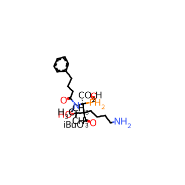 CC(C)COC(=O)C(CCCCN)(C(C)(C)O)[C@@]([PH2]=O)(C(=O)O)N(C)C(=O)CCCc1ccccc1